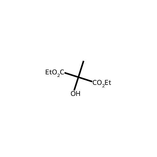 CCOC(=O)C(C)(O)C(=O)OCC